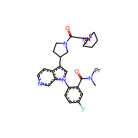 CC(C)N(C)C(=O)c1cc(F)ccc1-n1cc(C2CCN(C(=O)C3NC4CCC3CC4)C2)c2ccncc21